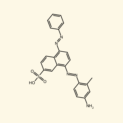 Cc1cc(N)ccc1N=Nc1ccc(N=Nc2ccccc2)c2ccc(S(=O)(=O)O)cc12